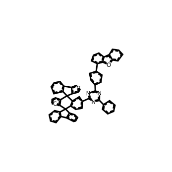 c1ccc(-c2nc(-c3ccc(-c4cccc5c4oc4ccccc45)cc3)nc(-c3ccc4c(c3)C3(c5ccccc5-c5ccccc53)c3ccccc3C43c4ccccc4-c4ccccc43)n2)cc1